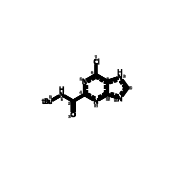 CC(C)(C)NC(=O)c1nc(Cl)c2[nH]cnc2n1